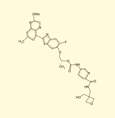 COc1cnc2c(-c3nc4cc(F)c(OC[C@@H](C)OC(=O)Nc5ccc(C(=O)NCC6(CO)COC6)nc5)cc4s3)cc(C)cc2n1